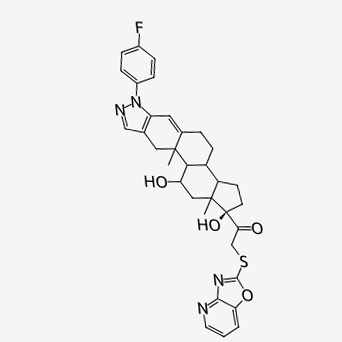 CC12Cc3cnn(-c4ccc(F)cc4)c3C=C1CCC1C2C(O)CC2(C)C1CC[C@]2(O)C(=O)CSc1nc2ncccc2o1